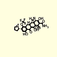 CN1CCC[C@H]1c1cc(O)c2c(c1OC(F)(F)F)C[C@H]1C[C@H]3[C@H](N)C(O)=C(C(N)=O)C(=O)[C@@]3(O)C(O)=C1C2=O